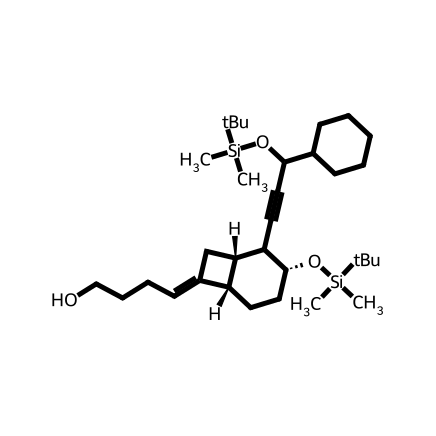 CC(C)(C)[Si](C)(C)OC(C#CC1[C@H]2C/C(=C\CCCO)[C@H]2CC[C@H]1O[Si](C)(C)C(C)(C)C)C1CCCCC1